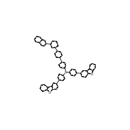 c1cc(-c2ccc(-c3ccc(N(c4ccc(-c5ccc6oc7ccccc7c6c5)cc4)c4ccc(-c5ccc6oc7ccccc7c6c5)cc4)cc3)cc2)cc(-c2ccc3ccccc3c2)c1